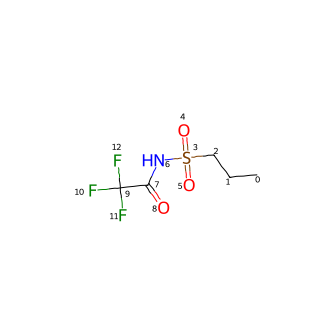 CCCS(=O)(=O)NC(=O)C(F)(F)F